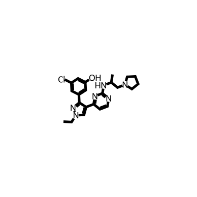 CCn1cc(-c2ccnc(NC(C)CN3CCCC3)n2)c(-c2cc(O)cc(Cl)c2)n1